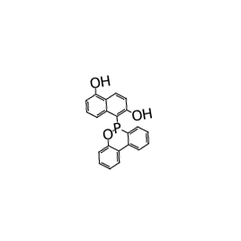 Oc1ccc2c(O)cccc2c1P1Oc2ccccc2-c2ccccc21